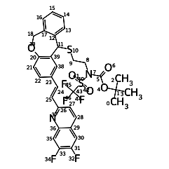 CC(C)(C)OC(=O)N(CCSC1c2ccccc2COc2ccc(C=Cc3ccc4cc(F)c(F)cc4n3)cc21)S(=O)(=O)C(F)(F)F